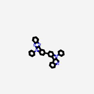 c1ccc(-n2c3ccc(-c4ccc5c(c4)c4nc6ccccc6nc4n5-c4ccccc4)cc3c3c4ccccc4ncc32)cc1